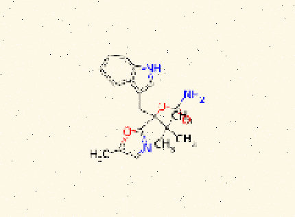 Cc1cnc(C(Cc2c[nH]c3ccccc23)(OC(N)=O)C(C)(C)C)o1